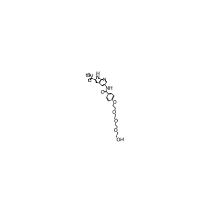 CC(C)(C)C(=O)c1cc2cc(NC(=O)c3ccc(OCCOCCOCCOCCO)cc3)cnc2[nH]1